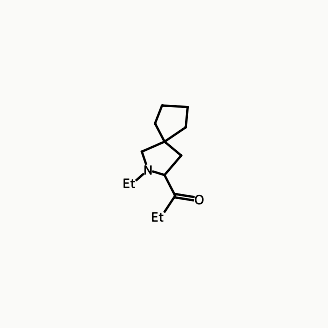 CCC(=O)C1CC2(CCCC2)CN1CC